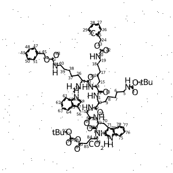 CC(C)(C)OC(=O)NCCCCC[C@H](NC(=O)[C@H](CCCCCNC(=O)OCc1ccccc1)NC(=O)[C@@H](N)CCCCCNC(=O)OCc1ccccc1)C(=O)N[C@@H](Cc1c[nH]c2ccccc12)C(=O)N[C@@H](Cc1c[nH]c2ccccc12)C(=O)N[C@@H](CCC(=O)OC(=O)OC(C)(C)C)C(=O)O